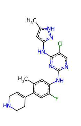 Cc1cc(Nc2nc(Nc3cc(C)c(C4=CCNCC4)cc3F)ncc2Cl)n[nH]1